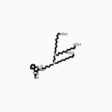 CCCCCCCC/C=C\CCCCCCCCN(CCCCCCCC/C=C\CCCCCCCC)CCCN(CCCCCCCC/C=C\CCCCCCCC)CCCCCC(=O)Nc1nc2ccccc2c2sc(CCC)nc12